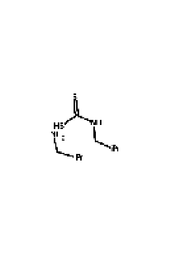 CC(C)CN.CC(C)CNC(=S)S